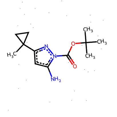 CC(C)(C)OC(=O)n1nc(C2(C)CC2)cc1N